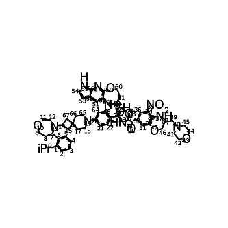 CC(C)c1ccccc1C1CCOCCN1C1CC2(CCN(c3ccc(C(=O)NS(=O)(=O)c4cc5c(c([N+](=O)[O-])c4)N[C@@H](CN4CCOCC4)CO5)c(N4c5cc6cc[nH]c6nc5OCC[C@H]4C)c3)CC2)C1